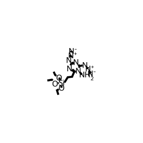 CCO[Si](CCCC1=NC(N=[N+]=[N-])=NC(N=[N+]=[N-])N1N)(OCC)OCC